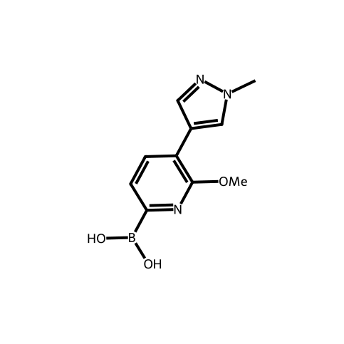 COc1nc(B(O)O)ccc1-c1cnn(C)c1